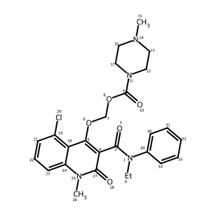 CCN(C(=O)c1c(OCOC(=O)N2CCN(C)CC2)c2c(Cl)cccc2n(C)c1=O)c1ccccc1